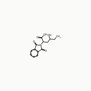 CCC(O)CC(C(=O)O)N1C(=O)c2ccccc2C1=O